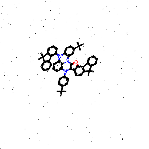 CC(C)(C)c1ccc(N2c3cccc4c3N(c3cc(C(C)(C)C)ccc3N4c3cccc4c3-c3ccccc3C4(C)C)c3oc4c5c(ccc4c32)C(C)(C)c2ccccc2-5)cc1